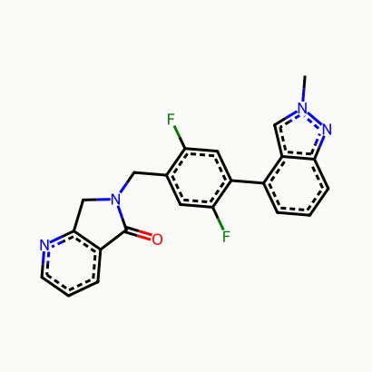 Cn1cc2c(-c3cc(F)c(CN4Cc5ncccc5C4=O)cc3F)cccc2n1